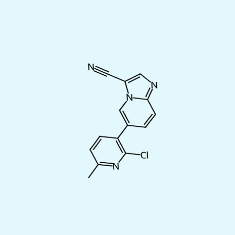 Cc1ccc(-c2ccc3ncc(C#N)n3c2)c(Cl)n1